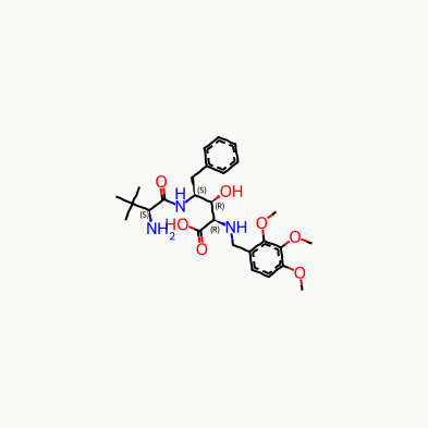 COc1ccc(CN[C@@H](C(=O)O)[C@H](O)[C@H](Cc2ccccc2)NC(=O)[C@@H](N)C(C)(C)C)c(OC)c1OC